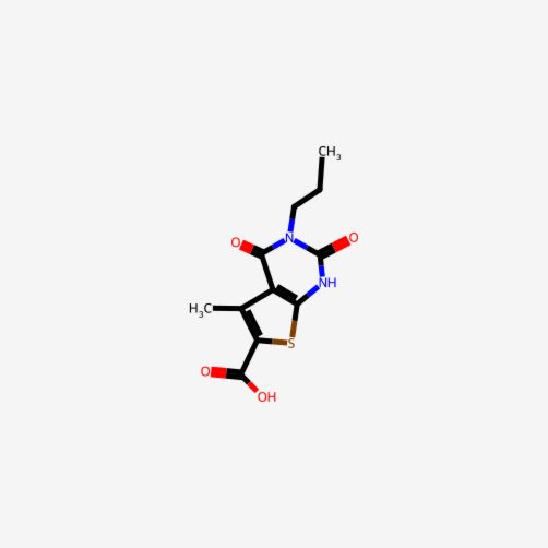 CCCn1c(=O)[nH]c2sc(C(=O)O)c(C)c2c1=O